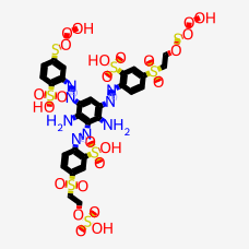 Nc1c(/N=N/c2cc(SOOO)ccc2S(=O)(=O)O)cc(/N=N/c2ccc(S(=O)(=O)CCOSOOO)cc2S(=O)(=O)O)c(N)c1/N=N/c1ccc(S(=O)(=O)CCOS(=O)(=O)O)cc1S(=O)(=O)O